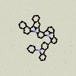 c1ccc(-n2c3ccccc3c3cc(-c4cccc5c6cccc7c8c9c%10cc%11ccccc%11c%11c%12c%13ccccc%13ccc%12n(c9ccc8n(c45)c67)c%10%11)ccc32)cc1